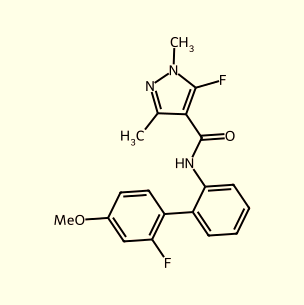 COc1ccc(-c2ccccc2NC(=O)c2c(C)nn(C)c2F)c(F)c1